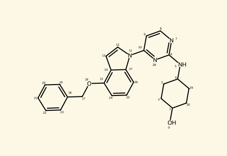 OC1CCC(Nc2nccc(-n3ccc4c(OCc5ccccc5)cccc43)n2)CC1